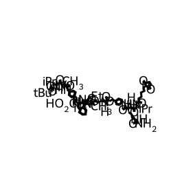 CCOCc1nc2c(N(Cc3ccc(NC(=O)[C@H](C)NC(=O)[C@@H](NC(=O)OC(C)(C)C)C(C)C)cc3)C(=O)O)nc3ccccc3c2n1CC(C)(C)OCCNC(=O)OCc1ccc(NC(=O)[C@H](CCCNC(N)=O)NC(=O)[C@@H](NC(=O)CCCCCN2C(=O)C=CC2=O)C(C)C)cc1